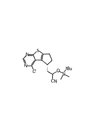 CC(C)(C)[Si](C)(C)OC(C#N)C[C@H]1CCc2sc3ncnc(Cl)c3c21